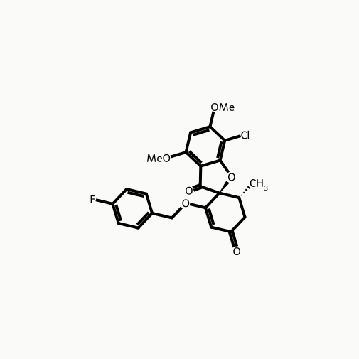 COc1cc(OC)c2c(c1Cl)O[C@]1(C2=O)C(OCc2ccc(F)cc2)=CC(=O)C[C@H]1C